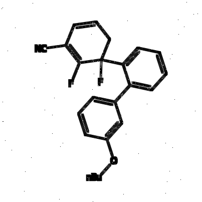 CCCCOc1cccc(-c2ccccc2C2(F)CC=CC(C#N)=C2F)c1